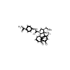 CC(C)(C)C[C@@H]1CN(C(=O)Nc2ccc(C(N)=O)cc2)[C@H](C2CC=CC(Cl)=C2F)[C@@]1(C#N)c1ccc(Cl)cc1F